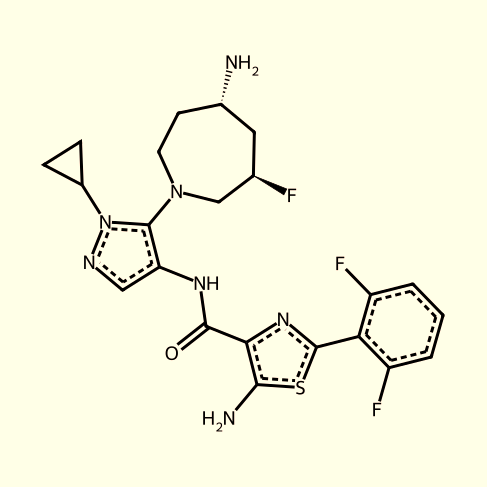 Nc1sc(-c2c(F)cccc2F)nc1C(=O)Nc1cnn(C2CC2)c1N1CC[C@H](N)C[C@@H](F)C1